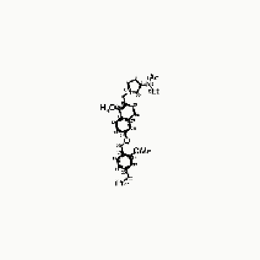 CCN(C(C)=O)C1CCN(CC2=C(C)c3ccc(OCc4ccc(CC(C)C)cc4OC)cc3CC2)C1